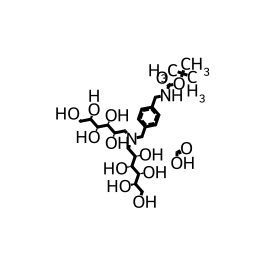 CC(C)(C)OC(=O)NCc1ccc(CN(C[C@H](O)[C@@H](O)[C@H](O)[C@H](O)CO)C[C@H](O)[C@@H](O)[C@H](O)[C@H](O)CO)cc1.O=CO